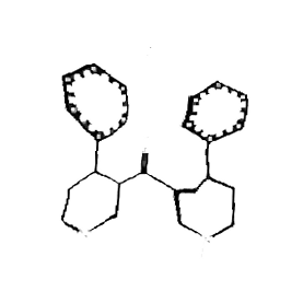 Cl.O=C(C1CNCCC1c1ccccc1)C1CNCCC1c1ccccc1